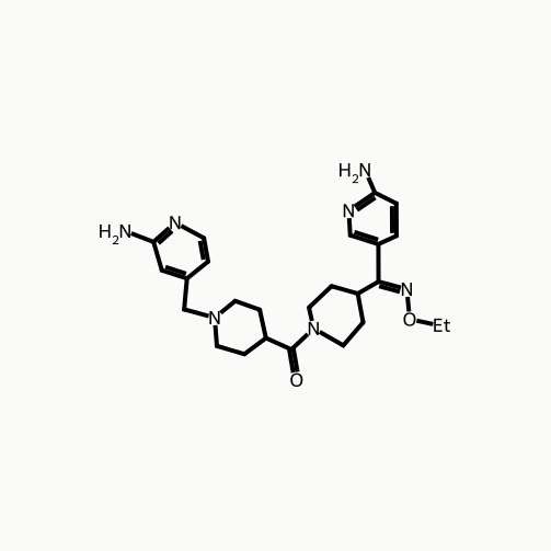 CCON=C(c1ccc(N)nc1)C1CCN(C(=O)C2CCN(Cc3ccnc(N)c3)CC2)CC1